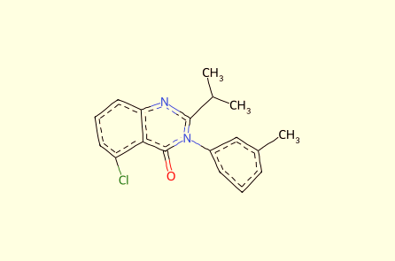 Cc1cccc(-n2c(C(C)C)nc3cccc(Cl)c3c2=O)c1